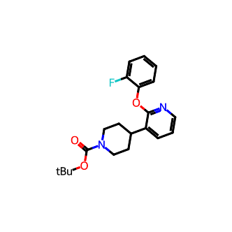 CC(C)(C)OC(=O)N1CCC(c2cccnc2Oc2ccccc2F)CC1